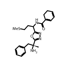 CSCCC(NC(=O)C1=CC=CCC1)c1nnc([C@](C)(N)Cc2ccccc2)o1